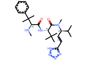 CN[C@H](C(=O)N[C@H](C(=O)N(C)[C@H](/C=C/c1nnn[nH]1)C(C)C)C(C)(C)C)C(C)(C)c1ccccc1